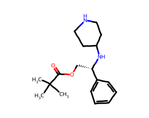 CC(C)(C)C(=O)OC[C@H](NC1CCNCC1)c1ccccc1